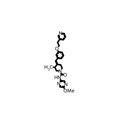 COc1cnc(NC(=O)N2CCC(=Cc3cccc(OCCc4cccnc4)c3)C(C)C2)cn1